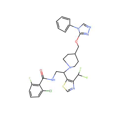 O=C(NCC(c1scnc1C(F)F)N1CCC(COc2nncn2-c2ccccc2)CC1)c1c(F)cccc1Cl